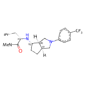 CNC(=O)[C@H](CC(C)C)N[C@H]1CC[C@@H]2CN(c3ccc(C(F)(F)F)cc3)C[C@@H]21